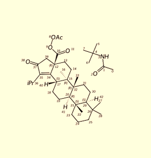 CC(=O)NC(C)(C)C.CC(=O)OOC(=O)[C@@]12CC[C@]3(C)[C@H](CC[C@@H]4[C@@]5(C)CCCC(C)(C)[C@@H]5CC[C@]43C)C1=C(C(C)C)C(=O)C2